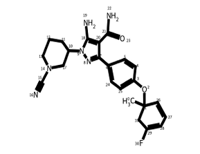 CC1(Oc2ccc(-c3nn(C4CCCN(C#N)C4)c(N)c3C(N)=O)cc2)C=CC=C(F)C1